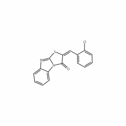 O=c1/c(=C\c2ccccc2Cl)sc2nc3ccccc3n12